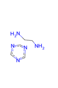 NCCN.c1ncncn1